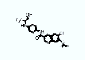 O=C(NC1CCC(N[C@H](CO)C(F)(F)F)CC1)c1cnc2cc(OC(F)F)c(Cl)cc2c1